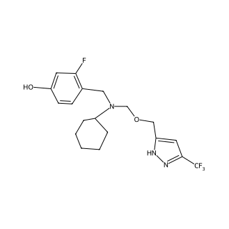 Oc1ccc(CN(COCc2cc(C(F)(F)F)n[nH]2)C2CCCCC2)c(F)c1